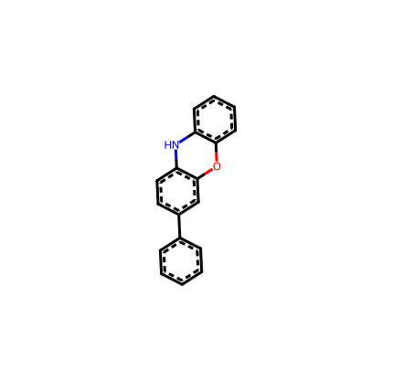 c1ccc(-c2ccc3c(c2)Oc2ccccc2N3)cc1